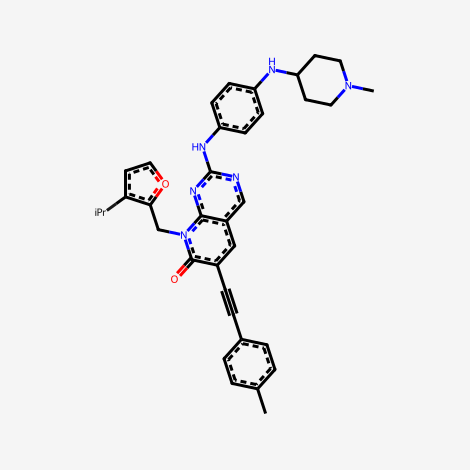 Cc1ccc(C#Cc2cc3cnc(Nc4ccc(NC5CCN(C)CC5)cc4)nc3n(Cc3occc3C(C)C)c2=O)cc1